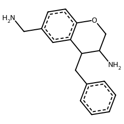 NCc1ccc2c(c1)C(Cc1ccccc1)C(N)CO2